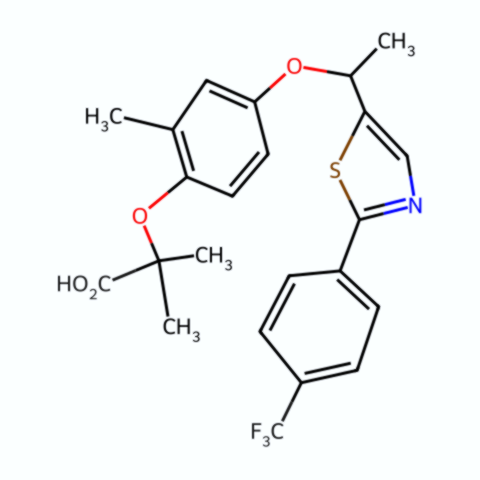 Cc1cc(OC(C)c2cnc(-c3ccc(C(F)(F)F)cc3)s2)ccc1OC(C)(C)C(=O)O